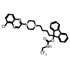 O=C(NCC(F)(F)F)OC1(CCCCN2CCN(c3cnc4c(Cl)cccc4n3)CC2)c2ccccc2-c2ccccc21